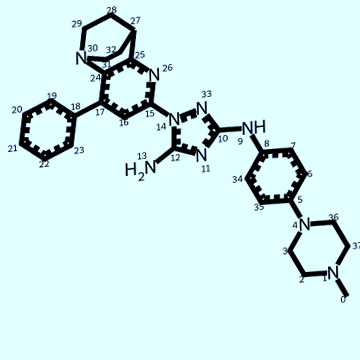 CN1CCN(c2ccc(Nc3nc(N)n(-c4cc(-c5ccccc5)c5c(n4)C4CCN5CC4)n3)cc2)CC1